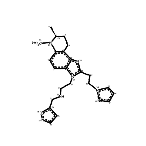 C[C@H]1CCc2c(ccc3c2nc(CCn2cccn2)n3CCNCc2ccno2)N1C(=O)O